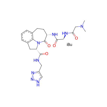 CC[C@H](C)[C@H](NC(=O)CN(C)C)C(=O)N[C@H]1CCc2cccc3c2N(C1=O)[C@H](C(=O)NCc1c[nH]nn1)C3